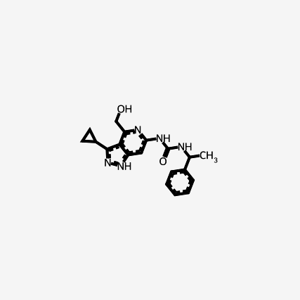 CC(NC(=O)Nc1cc2[nH]nc(C3CC3)c2c(CO)n1)c1ccccc1